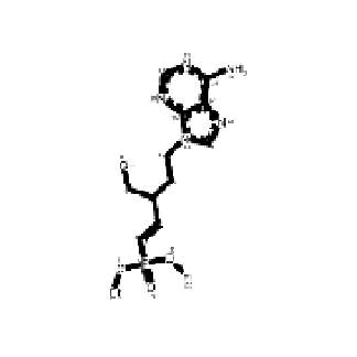 CCOP(=O)(/C=C/C(CO)CCn1cnc2c(N)ncnc21)OCC